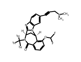 [2H]C([2H])([2H])N1C(=O)c2cccc(OC(F)F)c2[C@H]2C[C@@H]1c1nc3ccc(C#CCN(C)C)cc3n12